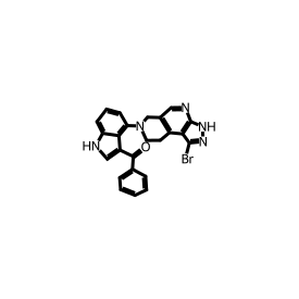 O=C(c1ccccc1)c1c[nH]c2cccc(N3CCc4c(cnc5[nH]nc(Br)c45)C3)c12